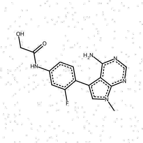 Cn1cc(-c2ccc(NC(=O)CO)cc2F)c2c(N)ncnc21